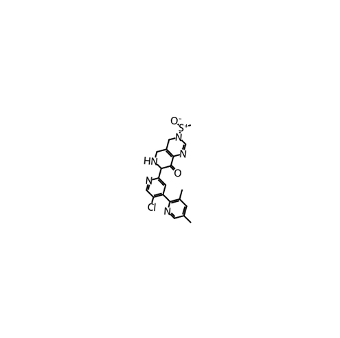 Cc1cnc(-c2cc(C3NCC4=C(N=CN([S+](C)[O-])C4)C3=O)ncc2Cl)c(C)c1